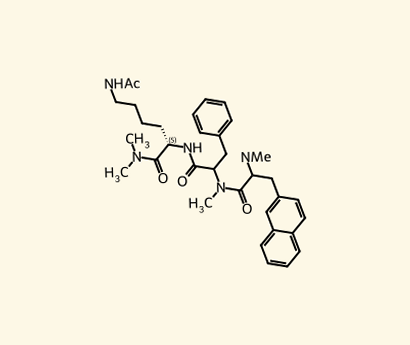 CNC(Cc1ccc2ccccc2c1)C(=O)N(C)C(Cc1ccccc1)C(=O)N[C@@H](CCCCNC(C)=O)C(=O)N(C)C